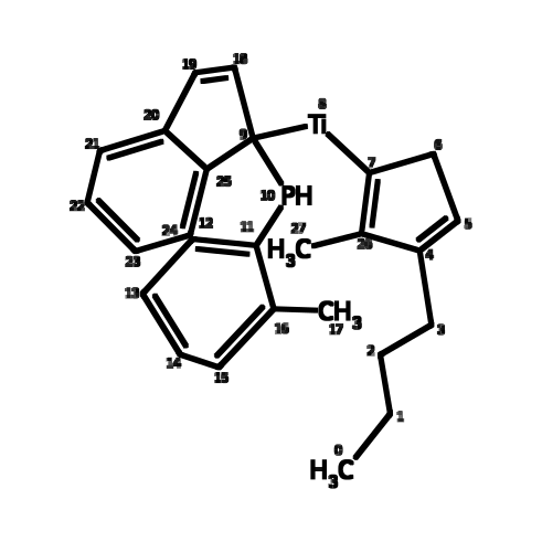 CCCCC1=CC[C]([Ti][C]2(Pc3ccccc3C)C=Cc3ccccc32)=C1C